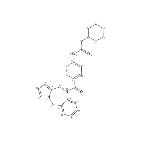 O=C(CC1CCCCC1)Nc1ccc(C(=O)N2Cc3cccn3Cc3ccccc32)cc1